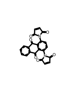 O=C1c2ccccc2C(=O)c2c(N3C(=O)C=CC3=O)ccc(N3C(=O)C=CC3=O)c21